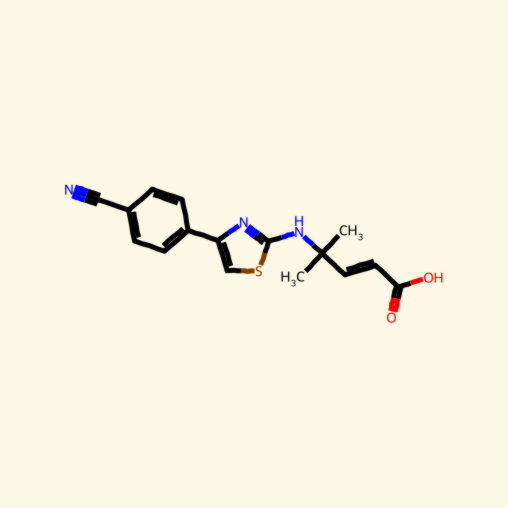 CC(C)(/C=C/C(=O)O)Nc1nc(-c2ccc(C#N)cc2)cs1